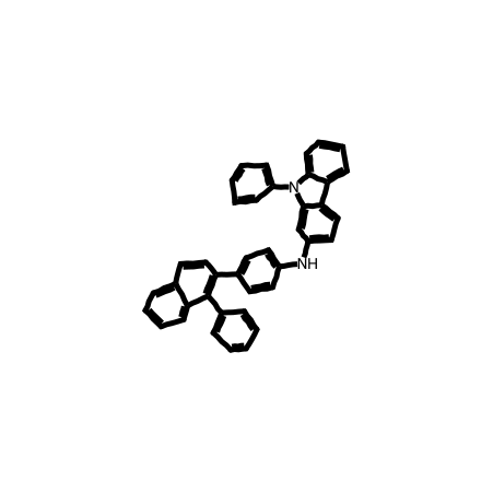 c1ccc(-c2c(-c3ccc(Nc4ccc5c6ccccc6n(-c6ccccc6)c5c4)cc3)ccc3ccccc23)cc1